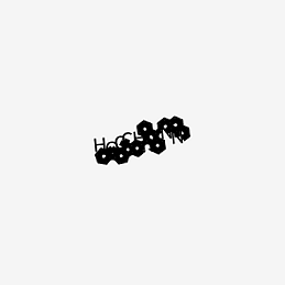 CC1(C)c2cc(-c3c4ccccc4c(-c4ccc5ccc6cccnc6c5n4)c4ccccc34)ccc2-c2ccc3c(oc4ccccc43)c21